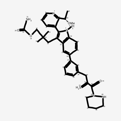 CCn1c(-c2cccnc2[C@H](C)OC)c(CC(C)(C)COC(=O)[SiH3])c2cc(-c3cccc(CC(=[SiH2])C(=O)N4CCCCN4)c3)ccc21